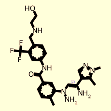 Cc1ccc(C(=O)Nc2ccc(CNCCO)c(C(F)(F)F)c2)cc1N(N)/C=C(\N)c1cnn(C)c1C